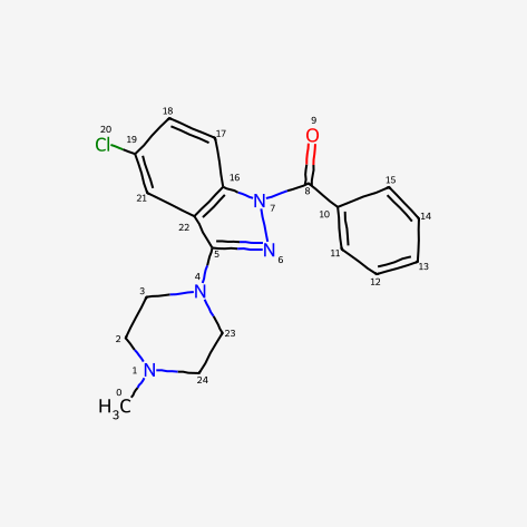 CN1CCN(c2nn(C(=O)c3ccccc3)c3ccc(Cl)cc23)CC1